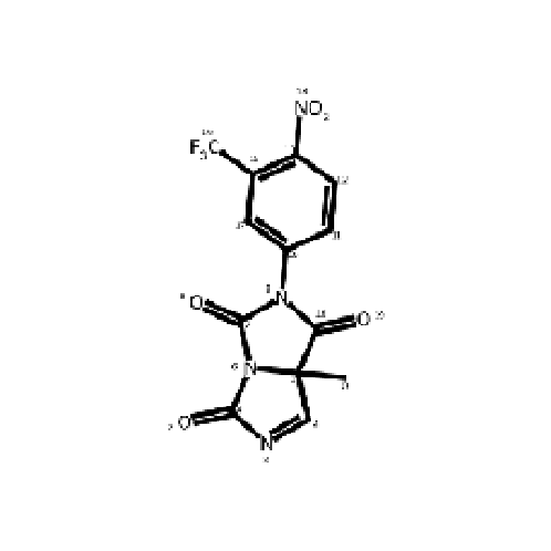 CC12C=NC(=O)N1C(=O)N(c1ccc([N+](=O)[O-])c(C(F)(F)F)c1)C2=O